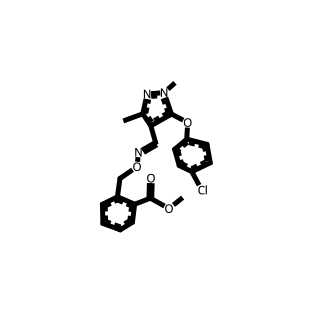 COC(=O)c1ccccc1CON=Cc1c(C)nn(C)c1Oc1ccc(Cl)cc1